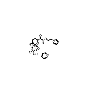 O=C(NOCCn1cccc1)[C@@H]1CC[C@@H]2CN1C(=O)N2OS(=O)(=O)O.c1ccncc1